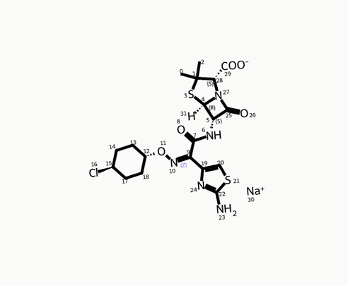 CC1(C)S[C@@H]2[C@@H](NC(=O)/C(=N\O[C@H]3CC[C@H](Cl)CC3)c3csc(N)n3)C(=O)N2[C@H]1C(=O)[O-].[Na+]